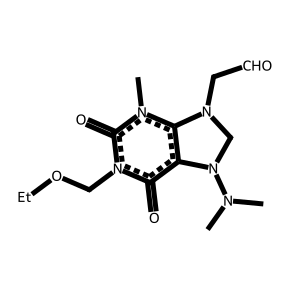 CCOCn1c(=O)c2c(n(C)c1=O)N(CC=O)CN2N(C)C